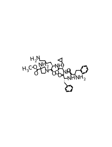 COC(=O)C1(N)CCN(C(=O)[C@@H](CCCCN)NC(=O)[C@@H](CC2CC2)NC(=O)[C@@H](Cc2ccccc2)NC(=O)[C@H](N)Cc2ccccc2)C1